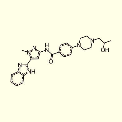 CC(O)CN1CCN(c2ccc(C(=O)Nc3cc(-c4nc5ccccc5[nH]4)n(C)n3)cc2)CC1